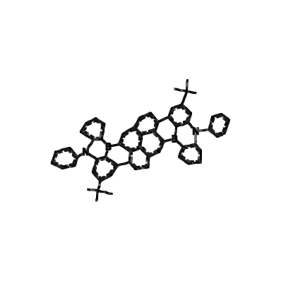 CC(C)(C)c1cc2c3c(c1)N(c1ccccc1)c1ccccc1B3c1cc3ccc4c5c(cc6ccc-2c1c6c35)B1c2ccccc2N(c2ccccc2)c2cc(C(C)(C)C)cc-4c21